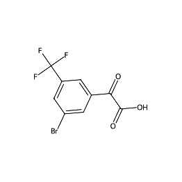 O=C(O)C(=O)c1cc(Br)cc(C(F)(F)F)c1